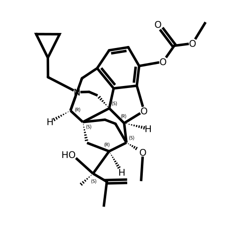 C=C(C)[C@@](C)(O)[C@H]1C[C@@]23CC[C@@]1(OC)[C@@H]1Oc4c(OC(=O)OC)ccc5c4[C@@]12CCN(CC1CC1)[C@@H]3C5